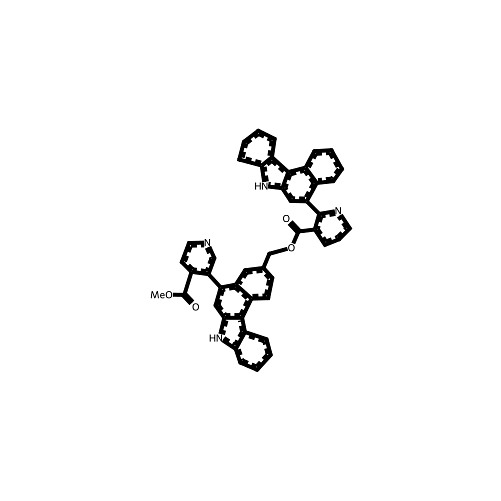 COC(=O)c1ccncc1-c1cc2[nH]c3ccccc3c2c2ccc(COC(=O)c3cccnc3-c3cc4[nH]c5ccccc5c4c4ccccc34)cc12